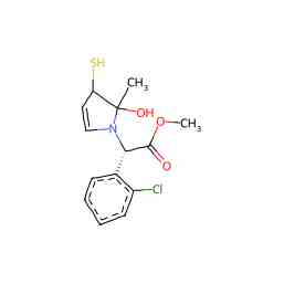 COC(=O)[C@H](c1ccccc1Cl)N1C=CC(S)C1(C)O